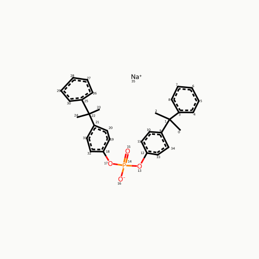 CC(C)(c1ccccc1)c1ccc(OP(=O)([O-])Oc2ccc(C(C)(C)c3ccccc3)cc2)cc1.[Na+]